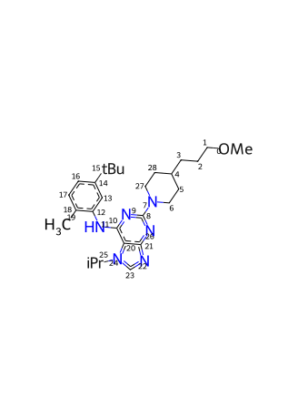 COCCCC1CCN(c2nc(Nc3cc(C(C)(C)C)ccc3C)c3c(ncn3C(C)C)n2)CC1